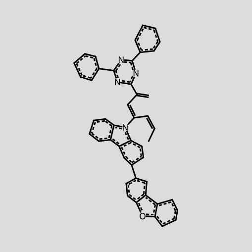 C=C(/C=C(\C=C/C)n1c2ccccc2c2cc(-c3ccc4oc5ccccc5c4c3)ccc21)c1nc(-c2ccccc2)nc(-c2ccccc2)n1